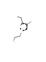 COCCn1cc(C(C)C)c(CO)n1